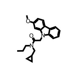 CCCN(CC1CC1)C(=O)Cn1c2ccccc2c2ccc(OC)cc21